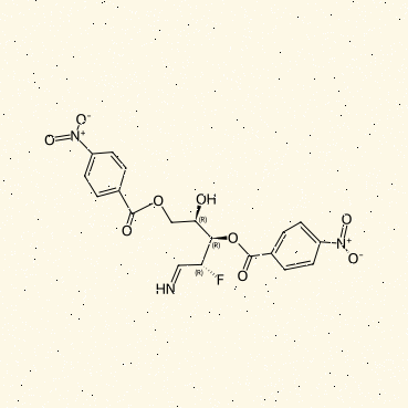 N=C[C@@H](F)[C@H](OC(=O)c1ccc([N+](=O)[O-])cc1)[C@H](O)COC(=O)c1ccc([N+](=O)[O-])cc1